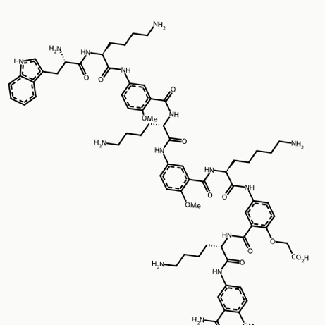 COc1ccc(NC(=O)[C@H](CCCCN)NC(=O)c2cc(NC(=O)[C@H](CCCCCN)NC(=O)c3cc(NC(=O)[C@H](CCCCN)NC(=O)c4cc(NC(=O)[C@H](CCCCN)NC(=O)[C@@H](N)Cc5c[nH]c6ccccc56)ccc4OC)ccc3OC)ccc2OCC(=O)O)cc1C(N)=O